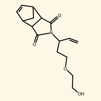 C=CC(CCOCCO)N1C(=O)C2C3C=CC(C3)C2C1=O